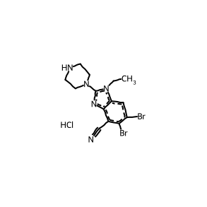 CCn1c(N2CCNCC2)nc2c(C#N)c(Br)c(Br)cc21.Cl